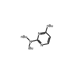 CCCCc1ccnc(N(CCCC)C(C)CC)n1